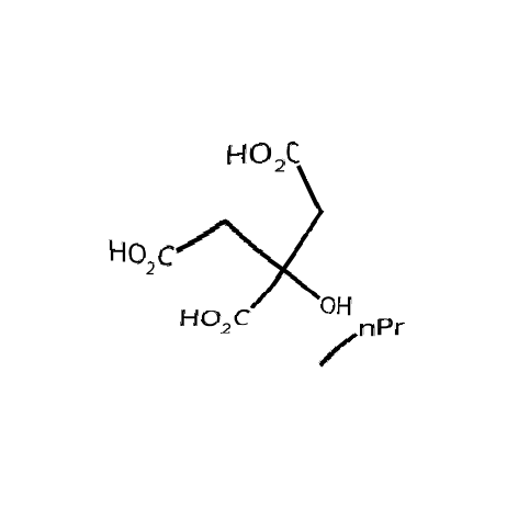 CCCC.O=C(O)CC(O)(CC(=O)O)C(=O)O